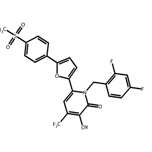 CS(=O)(=O)c1ccc(-c2ccc(-c3cc(C(F)(F)F)c(C#N)c(=O)n3Cc3ccc(F)cc3F)o2)cc1